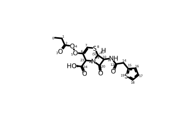 CCC(=O)OOC1=CS[C@H]2C(NC(=O)Cc3cccs3)C(=O)N2C1C(=O)O